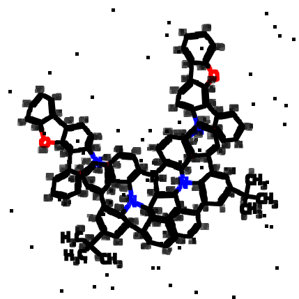 CC(C)(C)c1cc(-c2ccccc2)c(N2c3cc(-n4c5ccccc5c5c6oc7ccccc7c6ccc54)ccc3B3c4ccc(-n5c6ccccc6c6c7oc8ccccc8c7ccc65)cc4N(c4c(-c5ccccc5)cc(C(C)(C)C)cc4-c4ccccc4)c4cccc2c43)c(-c2ccccc2)c1